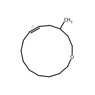 CC1C/C=C\CCCCCCCCOCC1